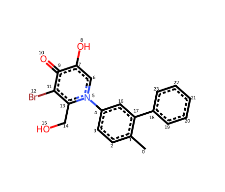 Cc1ccc(-n2cc(O)c(=O)c(Br)c2CO)cc1-c1ccccc1